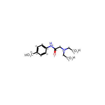 O=C(O)CN(CC(=O)O)CC(=O)Nc1ccc(C(=O)O)cc1